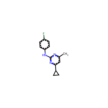 Cc1cc(C2CC2)nc(Nc2ccc(F)cc2)n1